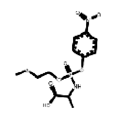 CSCCOP(=O)(NC(C)C(=O)O)Oc1ccc([N+](=O)[O-])cc1